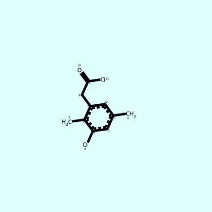 Cc1cc(Cl)c(C)c(CC(=O)Cl)c1